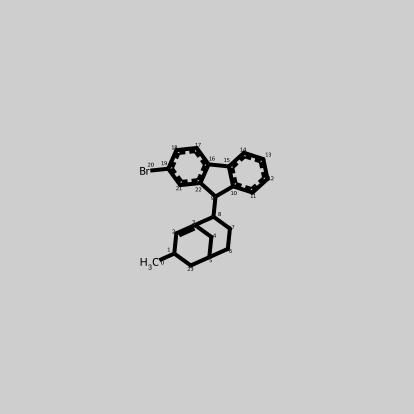 CC1C=C2CC(CCC2C2c3ccccc3-c3ccc(Br)cc32)C1